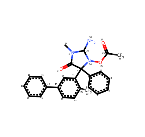 CN1C(=O)C(c2ccccc2)(c2cc(-c3ccccc3)ccc2C(F)(F)F)N(OC(=O)C(F)(F)F)C1N